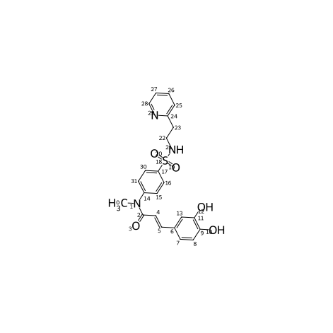 CN(C(=O)C=Cc1ccc(O)c(O)c1)c1ccc(S(=O)(=O)NCCc2ccccn2)cc1